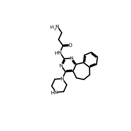 NCCC(=O)Nc1nc2c(c(N3CCNCC3)n1)CCCc1ccccc1-2